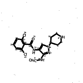 O=CNc1nn(C2CCNCC2)cc1NC(=O)c1c(Cl)cccc1Cl